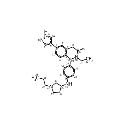 C[C@@H]1Cc2cc(-c3cn[nH]c3)ccc2[C@@H](c2ccc(NC3CCN(CCC(F)(F)F)C3)cc2)N1CC(F)(F)F